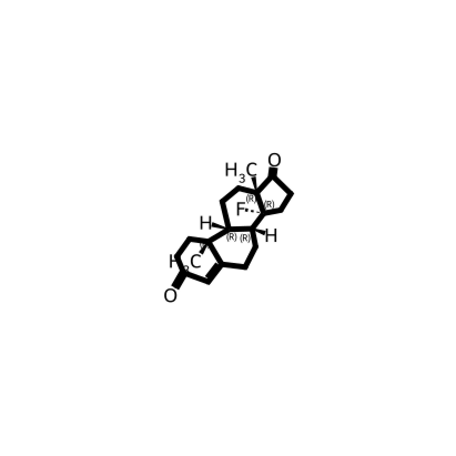 C[C@]12CCC(=O)C=C1CC[C@@H]1[C@H]2CC[C@]2(C)C(=O)CC[C@@]12F